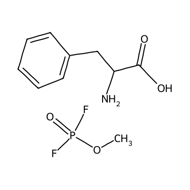 COP(=O)(F)F.NC(Cc1ccccc1)C(=O)O